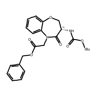 CC(C)(C)OC(=O)N[C@H]1COc2ccccc2N(CC(=O)OCc2ccccc2)C1=O